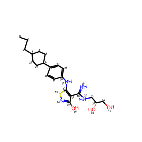 CCCC1CCC(c2ccc(Nc3snc(O)c3C(=N)NC[C@@H](O)CO)cc2)CC1